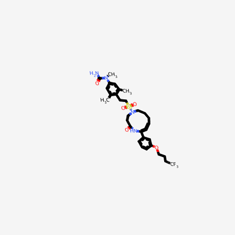 Cc1cc(N(C)C(N)=O)cc(C)c1CCS(=O)(=O)N1CCCC=C=C(c2cccc(OCCCC(F)(F)F)c2)NC(=O)CC1